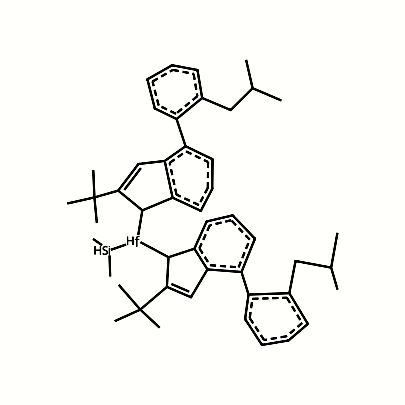 CC(C)Cc1ccccc1-c1cccc2c1C=C(C(C)(C)C)[CH]2[Hf]([CH]1C(C(C)(C)C)=Cc2c(-c3ccccc3CC(C)C)cccc21)[SiH](C)C